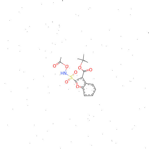 CC(=O)ONS(=O)(=O)c1oc2ccccc2c1C(=O)OC(C)(C)C